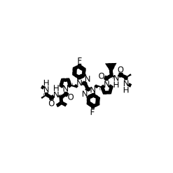 CN[C@H](C)C(=O)N[C@@H](C(=O)N1CCC[C@H]1Cn1c(-c2nc3cc(F)ccc3n2C[C@@H]2CCCN2C(=O)[C@H](NC(=O)[C@@H](C)NC)C2CC2)nc2cc(F)ccc21)C(C)C